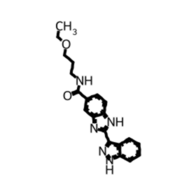 CCOCCCNC(=O)c1ccc2[nH]c(-c3n[nH]c4ccccc34)nc2c1